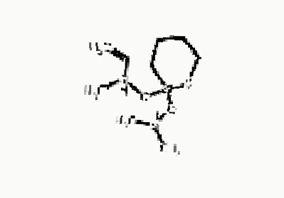 C=C[SiH](C)O[Si]1(O[SiH](C)C)CCCCO1